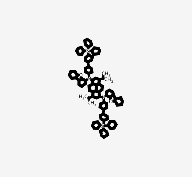 CC(C)c1cc(N(c2ccc(-c3ccc([Si](c4ccccc4)(c4ccccc4)c4ccccc4)cc3)cc2)c2cccc3c2oc2ccccc23)c2ccc3c(C(C)C)cc(N(c4ccc(-c5ccc([Si](c6ccccc6)(c6ccccc6)c6ccccc6)cc5)cc4)c4cccc5c4oc4ccccc45)c4ccc1c2c34